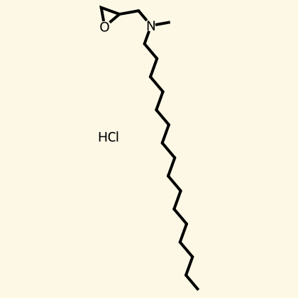 CCCCCCCCCCCCCCCCN(C)CC1CO1.Cl